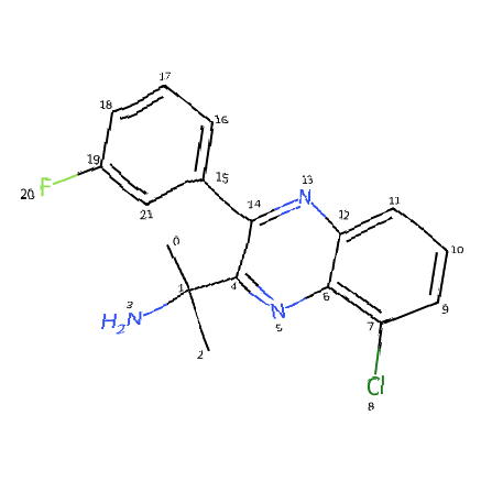 CC(C)(N)c1nc2c(Cl)cccc2nc1-c1cccc(F)c1